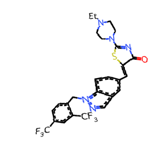 CCN1CCN(C2=NC(=O)/C(=C/c3ccc4c(cnn4Cc4ccc(C(F)(F)F)cc4C(F)(F)F)c3)S2)CC1